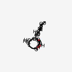 CCOCCC(=O)N1CCN(c2ncc(CNC(=O)O[C@@H]3CC[C@@H](C[C@@H](C)[C@@H]4CC[C@H](C)/C=C(\C)[C@@H](O)[C@@H](O)C(=O)[C@H](C)C[C@H](C)/C=C/C=C/C=C(\C)[C@@H](OC)C[C@@H]5CC[C@@H](C)[C@@](O)(O5)C(=O)C(=O)N5CCCC[C@H]5C(=O)O4)C[C@H]3OC)cn2)CC1